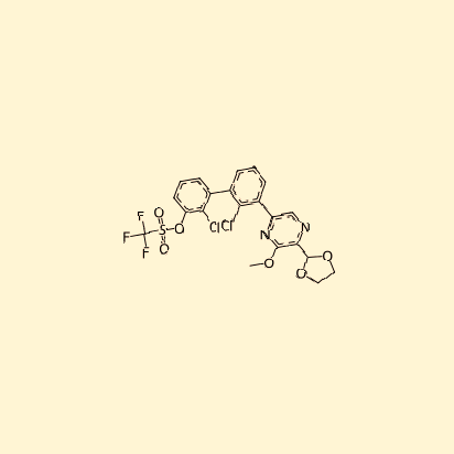 COc1nc(-c2cccc(-c3cccc(OS(=O)(=O)C(F)(F)F)c3Cl)c2Cl)cnc1C1OCCO1